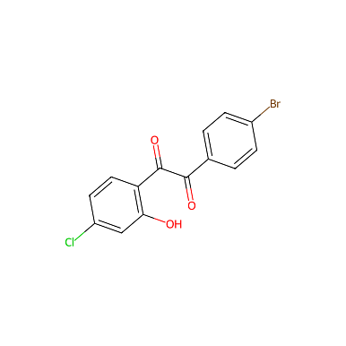 O=C(C(=O)c1ccc(Cl)cc1O)c1ccc(Br)cc1